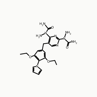 CCOc1cc(Cc2cnc(N(N)C(N)=O)nc2N(N)C(N)=O)cc(OCC)c1-n1cccc1